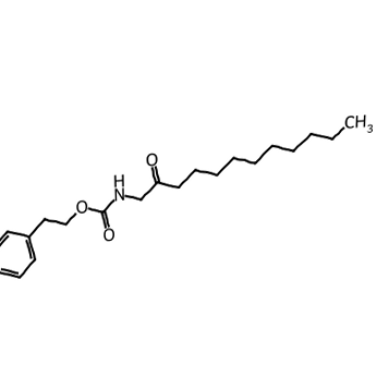 CCCCCCCCCCC(=O)CNC(=O)OCCc1ccccc1